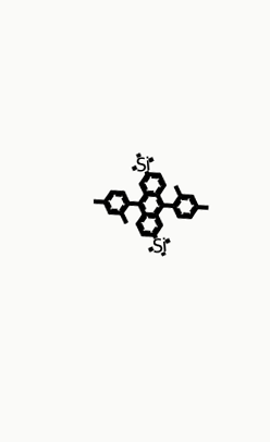 Cc1ccc(-c2c3ccc([Si](C)(C)C)cc3c(-c3ccc(C)cc3C)c3ccc([Si](C)(C)C)cc23)c(C)c1